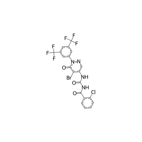 O=C(NC(=O)c1ccccc1Cl)Nc1cnn(-c2cc(C(F)(F)F)cc(C(F)(F)F)c2)c(=O)c1Br